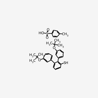 CC(C)(C)Oc1cccc(-c2cccc(S)c2-c2cccc(OC(C)(C)C)c2)c1.Cc1ccc(S(=O)(=O)O)cc1